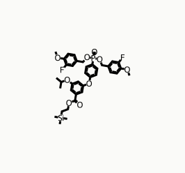 COc1ccc(COP(=O)(OCc2ccc(OC)c(F)c2)c2ccc(Oc3cc(OC(C)C)cc(C(=O)OCC[Si](C)(C)C)c3)cc2)cc1F